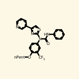 CCCCCOc1ccc(N(C(=O)Nc2ccccc2)c2nc(-c3cccnc3)cs2)cc1C(F)(F)F